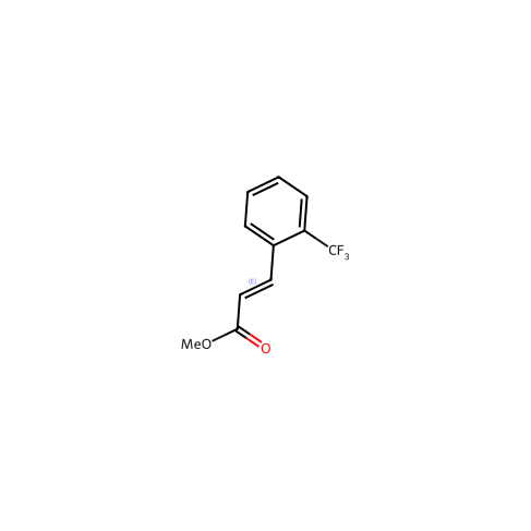 COC(=O)/C=C/c1ccccc1C(F)(F)F